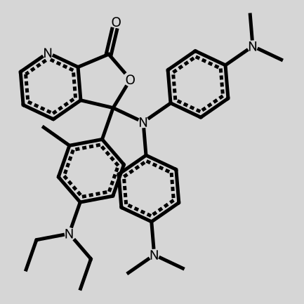 CCN(CC)c1ccc(C2(N(c3ccc(N(C)C)cc3)c3ccc(N(C)C)cc3)OC(=O)c3ncccc32)c(C)c1